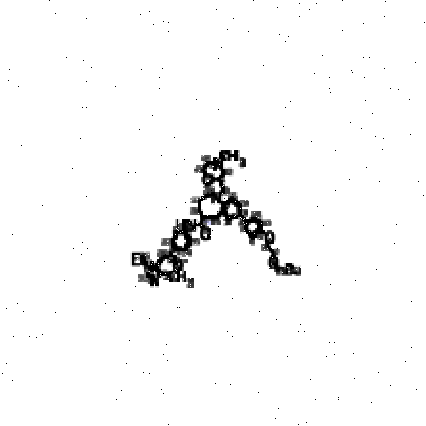 CCCCOCCOc1ccc(-c2ccc3c(c2)/C=C(/C(=O)Nc2ccc([S+]([O-])Cc4c(C)ncn4CC)cc2)CCCN3CC2CN(C)CCO2)cc1